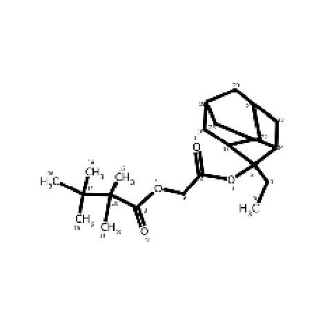 CCC1(OC(=O)COC(=O)C(C)(C)C(C)(C)C)C2CC3CC(C2)CC1C3